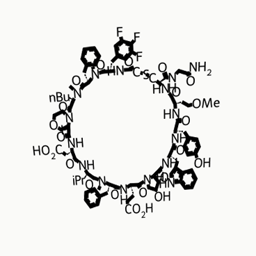 CCCC[C@H]1C(=O)N2CCOC[C@@H]2C(=O)N[C@@H](CC(=O)O)C(=O)N[C@@H](C(C)C)C(=O)N(C)[C@@H](Cc2ccccc2)C(=O)N[C@@H](CCC(=O)O)C(=O)N2C[C@H](O)C[C@@H]2C(=O)N[C@@H](Cc2c[nH]c3ccccc23)C(=O)N[C@@H](Cc2ccc(O)cc2)C(=O)N[C@@H](CCOC)C(=O)N[C@H](C(=O)NCC(N)=O)CSCC(=O)N[C@@H](Cc2cc(F)c(F)c(F)c2)C(=O)N(C)[C@@H](Cc2ccccc2)C(=O)N1C